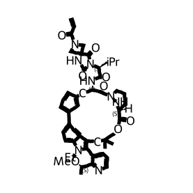 C=CC(=O)N1CC2(C1)NC(=O)N([C@H](C(=O)N[C@H]1Cc3cccc(c3)-c3ccc4c(c3)c(c(-c3cccnc3[C@H](C)OC)n4CC)CC(C)(C)COC(=O)[C@@H]3CCCN(N3)C1=O)C(C)C)C2=O